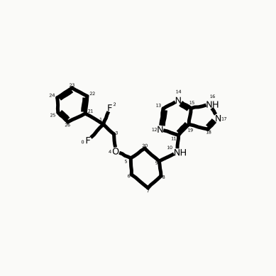 FC(F)(COC1CCCC(Nc2ncnc3[nH]ncc23)C1)c1ccccc1